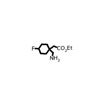 CCOC(=O)CC1(CN)CCC(F)CC1